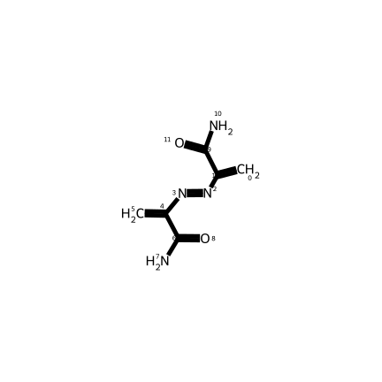 C=C(/N=N/C(=C)C(N)=O)C(N)=O